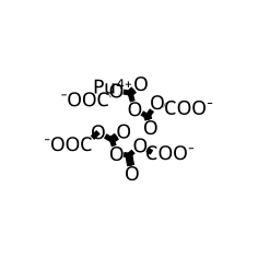 O=C([O-])OC(=O)OC(=O)OC(=O)[O-].O=C([O-])OC(=O)OC(=O)OC(=O)[O-].[Pu+4]